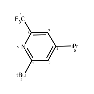 CC(C)c1cc(C(C)(C)C)nc(C(F)(F)F)c1